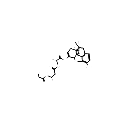 C[C@H](CC(=O)O[C@@H](C)C(=O)OC1=CC[C@@]2(O)[C@H]3Cc4ccc(O)c5c4C2(CCN3C)C1O5)NC(=O)[C@H](C)O